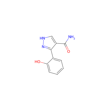 NC(=O)c1c[nH]nc1-c1ccccc1O